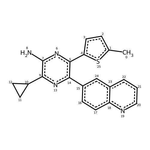 Cc1ccc(-c2nc(N)c(C3CC3)nc2-c2ccc3ncccc3c2)s1